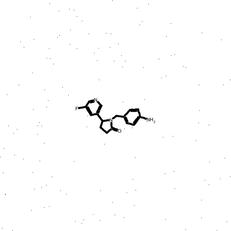 Nc1ccc(CN2C(=O)CCC2c2cncc(F)c2)cc1